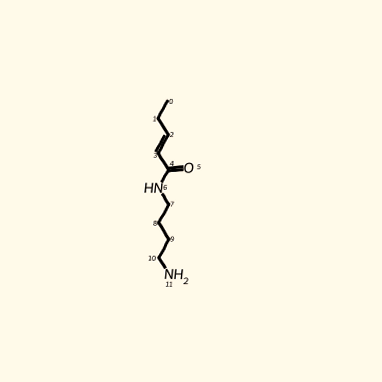 CC/C=C/C(=O)NCCCCN